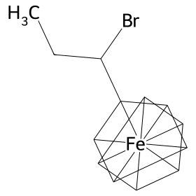 CCC(Br)[C]12[CH]3[CH]4[CH]5[CH]1[Fe]45321678[CH]2[CH]1[CH]6[CH]7[CH]28